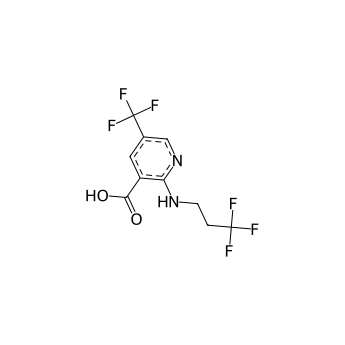 O=C(O)c1cc(C(F)(F)F)cnc1NCCC(F)(F)F